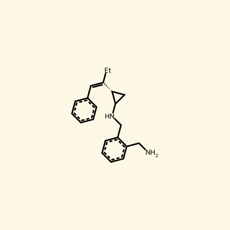 CCC(=Cc1ccccc1)[C@@H]1CC1NCc1ccccc1CN